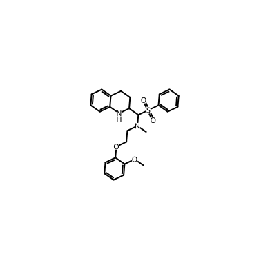 COc1ccccc1OCCN(C)C(C1CCc2ccccc2N1)S(=O)(=O)c1ccccc1